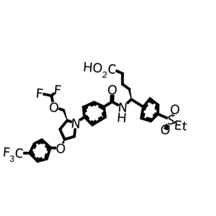 CCS(=O)(=O)c1ccc([C@H](CCCC(=O)O)NC(=O)c2ccc(N3C[C@@H](Oc4ccc(C(F)(F)F)cc4)C[C@H]3COC(F)F)cc2)cc1